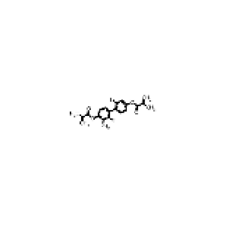 C=C(C)C(=O)Oc1ccc(-c2ccc(OC(=O)C(=C)C)c(P)c2F)c(F)c1